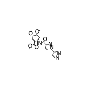 COC(=O)c1cc(OC)c(OC)cc1NC(=O)c1ccc(-c2ccnnc2)nn1